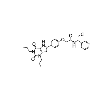 CCCn1c(=O)c2[nH]c(-c3ccc(OCC(=O)NC(CCl)c4ccccc4)cc3)cc2n(CCC)c1=O